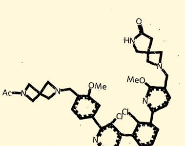 COc1cc(-c2nccc(-c3cccc(-c4ccc(CN5CC6(CNC(=O)C6)C5)c(OC)n4)c3Cl)c2Cl)ccc1CN1CC2(C1)CN(C(C)=O)C2